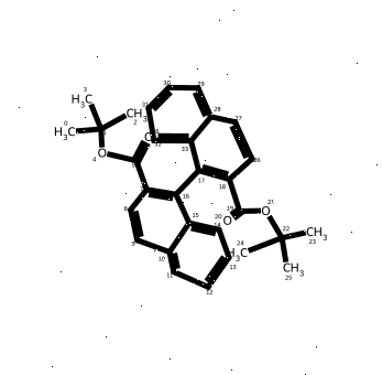 CC(C)(C)OC(=O)c1ccc2ccccc2c1-c1c(C(=O)OC(C)(C)C)ccc2ccccc12